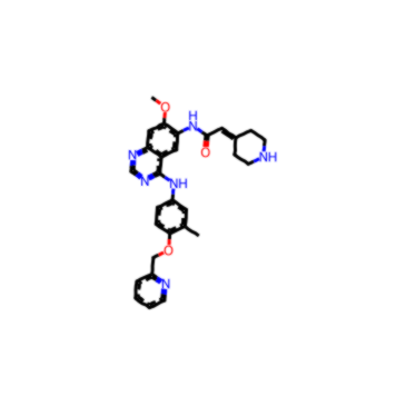 COc1cc2ncnc(Nc3ccc(OCc4ccccn4)c(C)c3)c2cc1NC(=O)C=C1CCNCC1